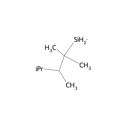 CC(C)C(C)C(C)(C)[SiH2]